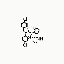 CC(C(Cc1ccc(Cl)cc1)c1ccc(Cl)cc1)N(C(=O)C1CCCNC1)c1ccccn1